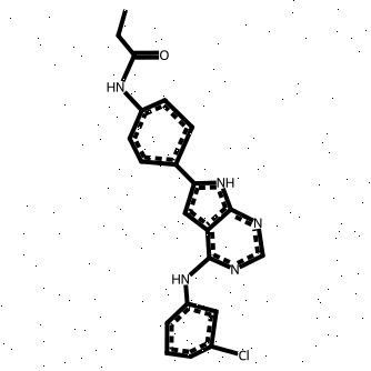 CCC(=O)Nc1ccc(-c2cc3c(Nc4cccc(Cl)c4)ncnc3[nH]2)cc1